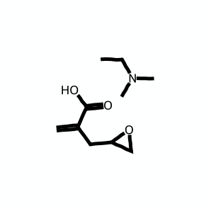 C=C(CC1CO1)C(=O)O.CCN(C)C